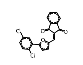 O=C1C(=Cc2ccc(-c3cc(Cl)ccc3Cl)o2)C(=O)c2ccccc21